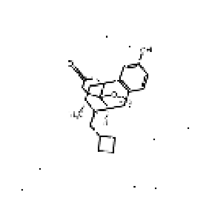 CO[C@@]12[C@H](C)CC(=O)C[C@@]13CCN(CC1CCC1)[C@@H]2Cc1ccc(O)cc13